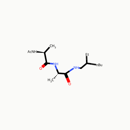 CCCCC(CC)CNC(=O)[C@H](C)NC(=O)[C@H](C)NC(C)=O